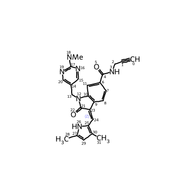 C#CCNC(=O)c1ccc2c(c1)N(Cc1cnc(NC)nc1)C(=O)/C2=C\c1[nH]c(C)cc1C